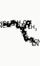 Cc1cccc(C)c1-c1cc2c(-c3ccc(/C=c4/cc/c(=c5/ccc(=C(C#N)C#N)s5)s4)s3)sc(-c3ccc(/C=c4/cc/c(=c5/ccc(=C(C#N)C#N)s5)s4)s3)c2s1